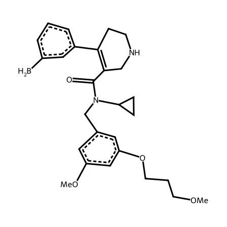 Bc1cccc(C2=C(C(=O)N(Cc3cc(OC)cc(OCCCOC)c3)C3CC3)CNCC2)c1